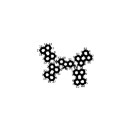 CC1(C)c2cc(N(c3ccc4c5cccc6cccc(c7cccc3c74)c65)c3ccc4c5cccc6cccc(c7cccc3c74)c65)ccc2-c2ccc(N(c3ccc4c5cccc6cccc(c7cccc3c74)c65)c3ccc4c5cccc6cccc(c7cccc3c74)c65)cc21